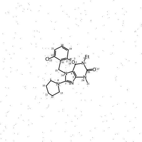 CCn1c(=O)c2c(nc(N3CCCCC3)n2Cc2c(F)cccc2Cl)n(C)c1=O